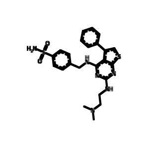 CN(C)CCNc1nc(NCc2ccc(S(N)(=O)=O)cc2)c2c(-c3ccccc3)csc2n1